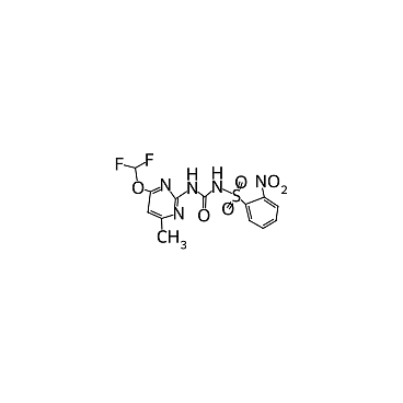 Cc1cc(OC(F)F)nc(NC(=O)NS(=O)(=O)c2ccccc2[N+](=O)[O-])n1